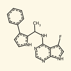 CC(Nc1ncnc2[nH]cc(F)c12)c1[nH]ccc1-c1ccccc1